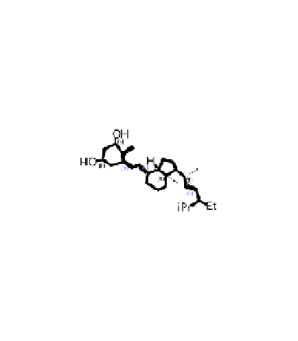 C=C1/C(=C\C=C2/CCC[C@]3(C)C([C@H](C)/C=C/C(CC)C(C)C)CC[C@@H]23)C[C@@H](O)C[C@@H]1O